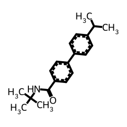 CC(C)c1ccc(-c2ccc(C(=O)NC(C)(C)C)cc2)cc1